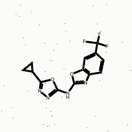 FC(F)(F)c1ccc2nc(Nc3nnc(C4CC4)o3)oc2c1